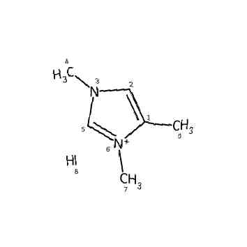 Cc1cn(C)c[n+]1C.I